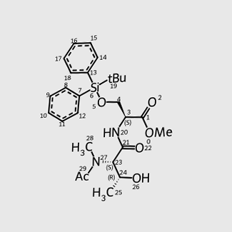 COC(=O)[C@H](CO[Si](c1ccccc1)(c1ccccc1)C(C)(C)C)NC(=O)[C@H]([C@@H](C)O)N(C)C(C)=O